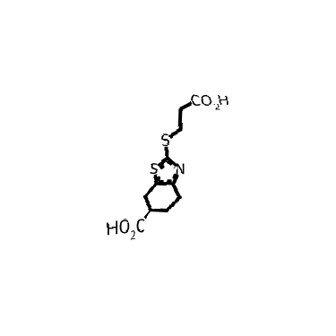 O=C(O)CCSc1nc2c(s1)C[C@H](C(=O)O)CC2